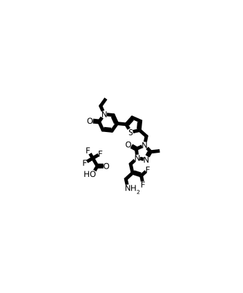 CCn1cc(-c2ccc(Cn3c(C)nn(CC(CN)=C(F)F)c3=O)s2)ccc1=O.O=C(O)C(F)(F)F